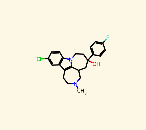 CN1CCc2c3n(c4ccc(Cl)cc24)CCC(O)(c2ccc(F)cc2)CC3C1